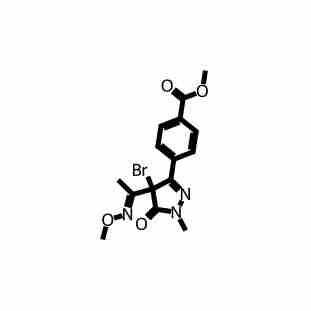 CON=C(C)C1(Br)C(=O)N(C)N=C1c1ccc(C(=O)OC)cc1